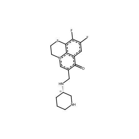 O=c1c(CN[C@H]2CCCNC2)cn2c3c(c(F)c(F)cc13)SCC2